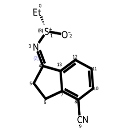 CC[S@+]([O-])/N=C1/CCc2c(C#N)cccc21